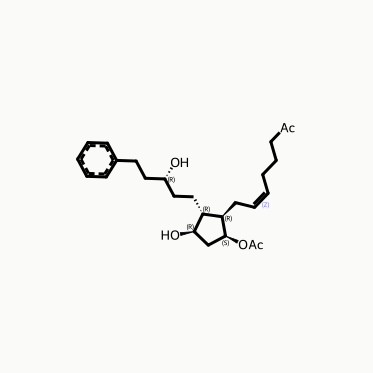 CC(=O)CCC/C=C\C[C@@H]1[C@@H](CC[C@@H](O)CCc2ccccc2)[C@H](O)C[C@@H]1OC(C)=O